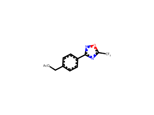 CC(=O)OCc1ccc(-c2noc(C(F)(F)F)n2)cc1